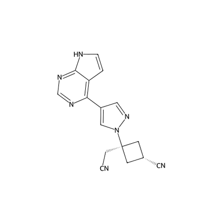 N#CC[C@]1(n2cc(-c3ncnc4[nH]ccc34)cn2)C[C@H](C#N)C1